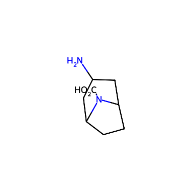 NC1CC2CCC(C1)N2C(=O)O